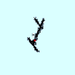 CCCCCCCCC(CCCCCC)C(=O)OCCOCCNCCOCCOC(=O)C(CCCCCC)CCCCCCCC